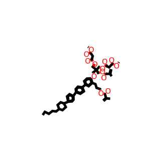 C=C(C)C(=O)OCCCc1cc(-c2ccc(-c3ccc(C4CCC(CCCCC)CC4)cc3)cc2)ccc1OCC(COC(=O)CC(=O)OC)(COC(=O)CC(=O)OC)COC(=O)C(=C)C